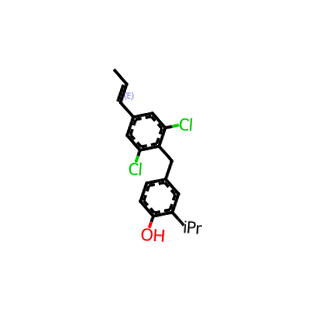 C/C=C/c1cc(Cl)c(Cc2ccc(O)c(C(C)C)c2)c(Cl)c1